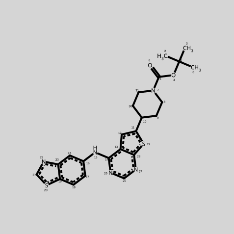 CC(C)(C)OC(=O)N1CCC(c2cc3c(Nc4ccc5scnc5c4)ncnc3s2)CC1